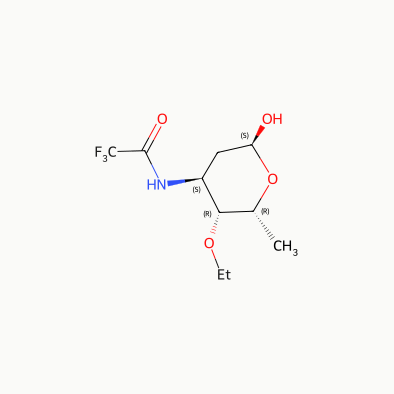 CCO[C@@H]1[C@@H](NC(=O)C(F)(F)F)C[C@@H](O)O[C@@H]1C